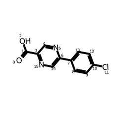 O=C(O)c1cnc(-c2ccc(Cl)cc2)cn1